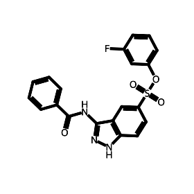 O=C(Nc1n[nH]c2ccc(S(=O)(=O)Oc3cccc(F)c3)cc12)c1ccccc1